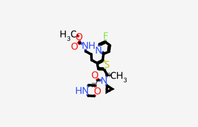 COC(=O)NCCCc1cc([C@@H](C)N(C(=O)[C@H]2CNCCO2)C2CC2)sc1-c1ccc(F)cn1